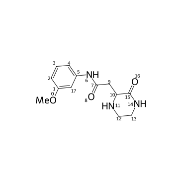 COc1cccc(NC(=O)CC2NCCNC2=O)c1